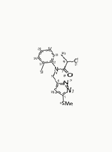 CSc1nnc(CN(C(=O)C(C)Cl)c2ccccc2C)s1